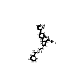 Nc1nc2cc(-c3cc[nH]n3)ccc2c2nn(CCNC(=O)c3ccccn3)cc12